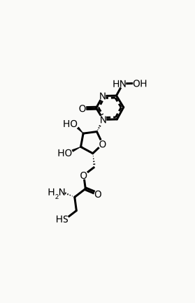 N[C@@H](CS)C(=O)OC[C@H]1O[C@@H](n2ccc(NO)nc2=O)[C@H](O)[C@@H]1O